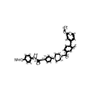 CCOc1cccc(-c2ccc(C(=O)N3CCN(c4ccc(C(=O)Nc5ccc(OC)cc5)cc4)CC3)cc2F)c1